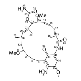 COC1CCCC2=C(N)C(=O)C=C(NC(=O)/C(C)=C/C=C\C(OC)C(OC(N)=O)/C(C)=C/[C@H](C)C1)C2=O